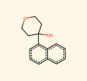 OC1(c2cccc3ccccc23)CCOCC1